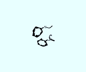 CCSc1ccccc1.CSc1ccccc1